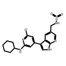 O=[SH](=O)NCc1cnc2[nH]cc(-c3cc(Cl)nc(NC4CCCCC4)c3)c2c1